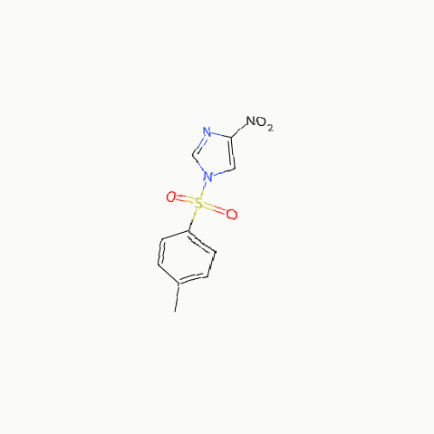 Cc1ccc(S(=O)(=O)n2cnc([N+](=O)[O-])c2)cc1